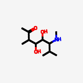 CNC(C(C)C)C(O)C(O)C(C)C(C)=O